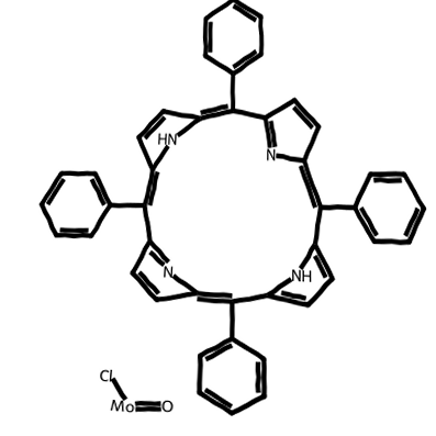 C1=Cc2nc1c(-c1ccccc1)c1ccc([nH]1)c(-c1ccccc1)c1nc(c(-c3ccccc3)c3ccc([nH]3)c2-c2ccccc2)C=C1.[O]=[Mo][Cl]